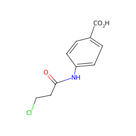 O=C(CCCl)Nc1ccc(C(=O)O)cc1